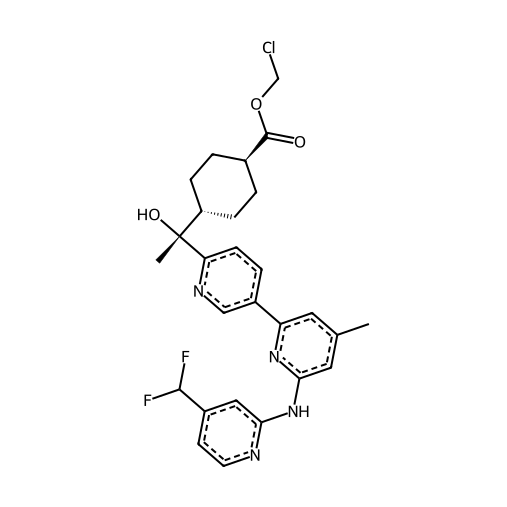 Cc1cc(Nc2cc(C(F)F)ccn2)nc(-c2ccc([C@](C)(O)[C@H]3CC[C@H](C(=O)OCCl)CC3)nc2)c1